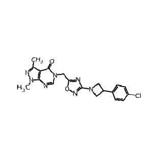 Cc1nn(C)c2ncn(Cc3nc(N4CC(c5ccc(Cl)cc5)C4)no3)c(=O)c12